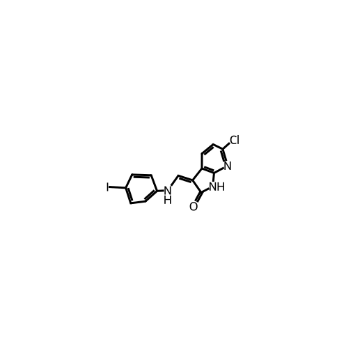 O=C1Nc2nc(Cl)ccc2C1=CNc1ccc(I)cc1